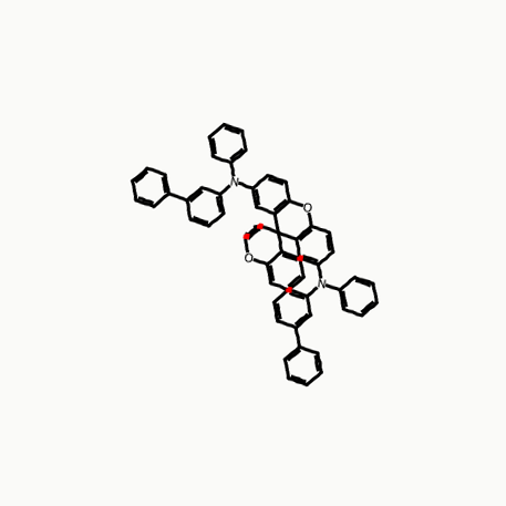 c1ccc(-c2cccc(N(c3ccccc3)c3ccc4c(c3)C3(c5ccccc5Oc5ccccc53)c3cc(N(c5ccccc5)c5cccc(-c6ccccc6)c5)ccc3O4)c2)cc1